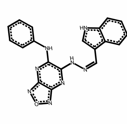 C(=N/Nc1nc2nonc2nc1Nc1ccccc1)/c1c[nH]c2ccccc12